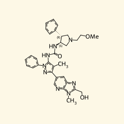 COCCN1C[C@@H](NC(=O)Nc2c(C)c(-c3cnc4c(c3)nc(CO)n4C)nn2-c2ccccc2)[C@H](c2ccccc2)C1